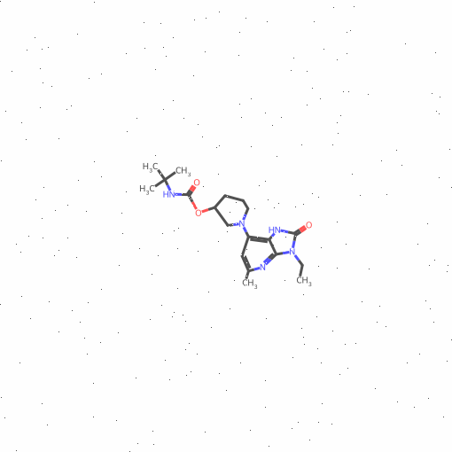 CCn1c(=O)[nH]c2c(N3CCCC(OC(=O)NC(C)(C)C)C3)cc(C)nc21